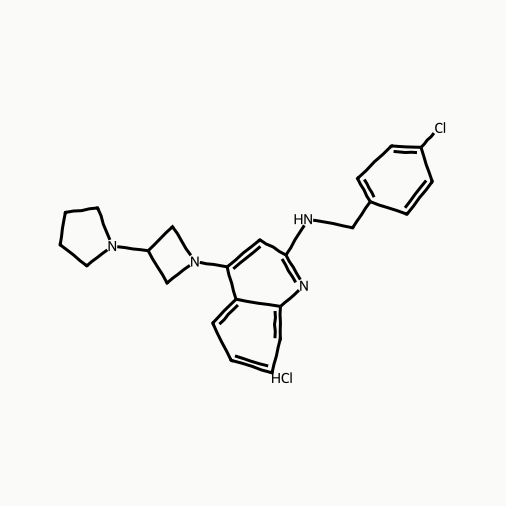 Cl.Clc1ccc(CNc2cc(N3CC(N4CCCC4)C3)c3ccccc3n2)cc1